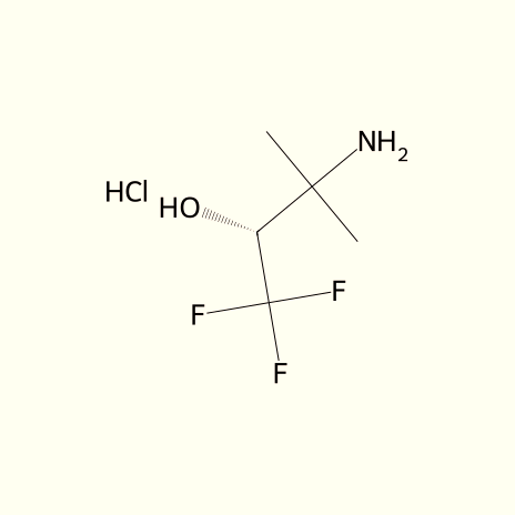 CC(C)(N)[C@@H](O)C(F)(F)F.Cl